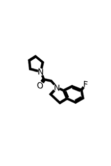 O=C(CN1CCc2ccc(F)cc21)N1CCCC1